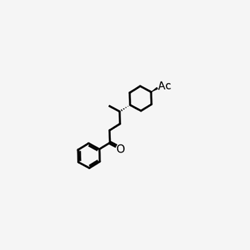 CC(=O)[C@H]1CC[C@H](C(C)CCC(=O)c2ccccc2)CC1